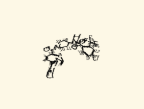 O=C(c1ccc(Cl)nc1)N1CCC(NS(=O)(=O)c2ccc(Cl)cc2C(F)(F)F)CC1